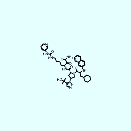 CC(C)(O)c1cnnn1[C@H]1C[C@@H](C(=O)NC(CCCCNC(=O)Nc2cncnc2)C(=O)C(N)=O)N(C(=O)C(CC2CCCCC2)Nc2ccc3ccccc3c2)C1